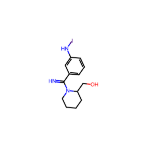 N=C(c1cccc(NI)c1)N1CCCCC1CO